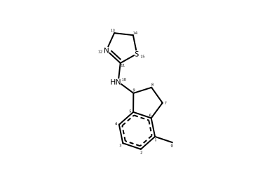 Cc1cccc2c1CCC2NC1=NCCS1